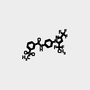 CC(F)(F)c1cc(C(F)(F)F)nn1-c1ccc(NC(=O)c2cccc(S(C)(=O)=O)c2)cc1